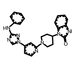 O=c1[nH]c2ccccc2n1C1CCN(c2cc(-n3cnc(Nc4ccccc4)n3)ccn2)CC1